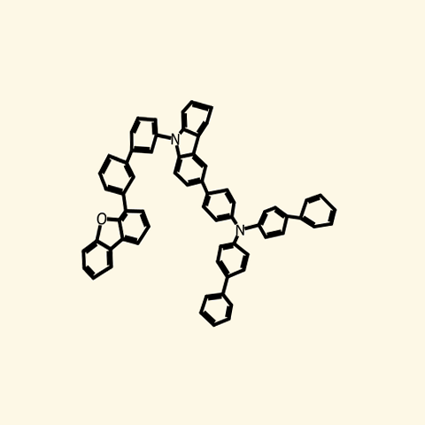 c1ccc(-c2ccc(N(c3ccc(-c4ccccc4)cc3)c3ccc(-c4ccc5c(c4)c4ccccc4n5-c4cccc(-c5cccc(-c6cccc7c6oc6ccccc67)c5)c4)cc3)cc2)cc1